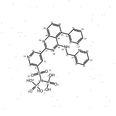 O=P(O)(O)N(P(=O)(O)O)S(=O)(=O)c1cncc(-c2nc(NCc3ccccn3)c3c(-c4ccccc4)cccc3n2)c1